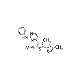 CSc1sc(-c2nc(C)cs2)c(C)c1-c1ccnc(Nc2ccccc2)n1